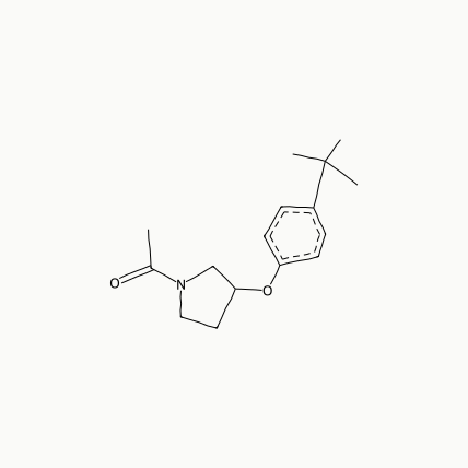 CC(=O)N1CCC(Oc2ccc(C(C)(C)C)cc2)C1